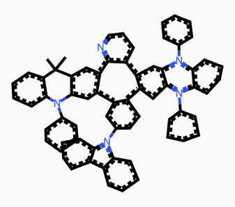 CC1(C)c2ccccc2N(c2ccccc2)c2cc3c4cc(-n5c6ccccc6c6ccccc65)ccc4c4cc5c(cc4c4cccnc4c3cc21)n(-c1ccccc1)c1ccccc1n5-c1ccccc1